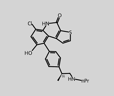 CCCNC[C@@H](C)c1ccc(-c2c(O)cc(Cl)c3[nH]c(=O)c4sccc4c23)cc1